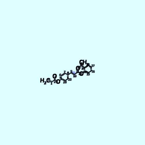 C=CC(=O)Oc1ccc(/C=C/C(=O)Oc2cc[c]cc2CC)cc1